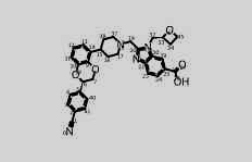 N#Cc1ccc([C@@H]2COc3c(cccc3C3CCN(Cc4nc5ccc(C(=O)O)cc5n4C[C@@H]4CCO4)CC3)O2)cc1